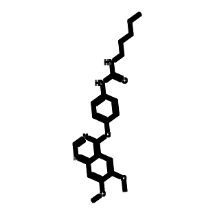 CCCCCNC(=O)Nc1ccc(Oc2ncnc3cc(OC)c(OC)cc23)cc1